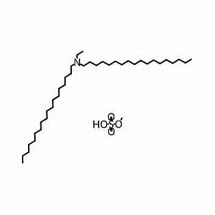 CCCCCCCCCCCCCCCCCCN(CC)CCCCCCCCCCCCCCCCCC.COS(=O)(=O)O